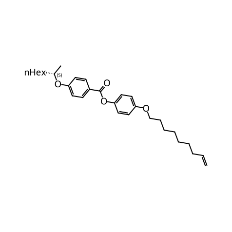 C=CCCCCCCCOc1ccc(OC(=O)c2ccc(O[C@@H](C)CCCCCC)cc2)cc1